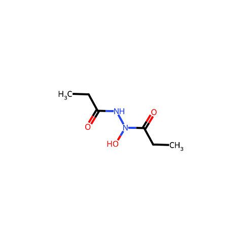 CCC(=O)NN(O)C(=O)CC